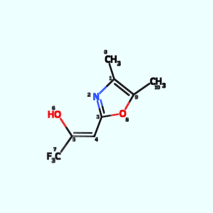 Cc1nc(C=C(O)C(F)(F)F)oc1C